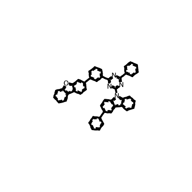 c1ccc(-c2ccc3c(c2)c2ccccc2n3-c2nc(-c3ccccc3)nc(-c3cccc(-c4ccc5c(c4)oc4ccccc45)c3)n2)cc1